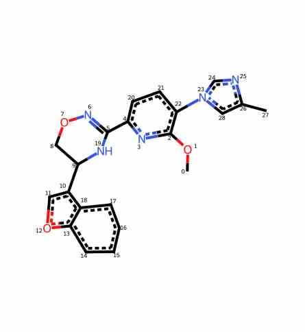 COc1nc(C2=NOCC(c3coc4ccccc34)N2)ccc1-n1cnc(C)c1